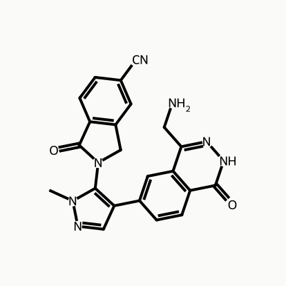 Cn1ncc(-c2ccc3c(=O)[nH]nc(CN)c3c2)c1N1Cc2cc(C#N)ccc2C1=O